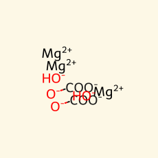 O=C([O-])[O-].O=C([O-])[O-].[Mg+2].[Mg+2].[Mg+2].[OH-].[OH-]